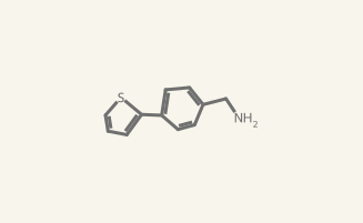 NCc1ccc(-c2cccs2)cc1